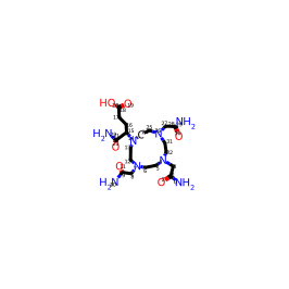 NC(=O)CN1CCN(CC(N)=O)CCN(C(CCC(=O)O)C(N)=O)CCN(CC(N)=O)CC1